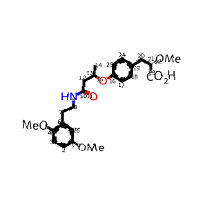 COc1ccc(OC)c(CCNC(=O)CC(C)Oc2ccc(C[C@H](OC)C(=O)O)cc2)c1